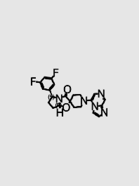 O=C1N2[C@@H](CC[C@H]2c2cc(F)cc(F)c2)OC12CCN(c1cncc3nccn13)CC2